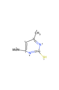 CNc1cc(C)nc(S)n1